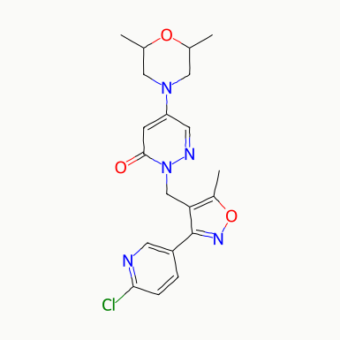 Cc1onc(-c2ccc(Cl)nc2)c1Cn1ncc(N2CC(C)OC(C)C2)cc1=O